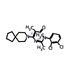 C/C(=N/C(=C(/C)C=O)N1CCC2(CCCC2)CC1)N(C)c1cccc(Cl)c1Cl